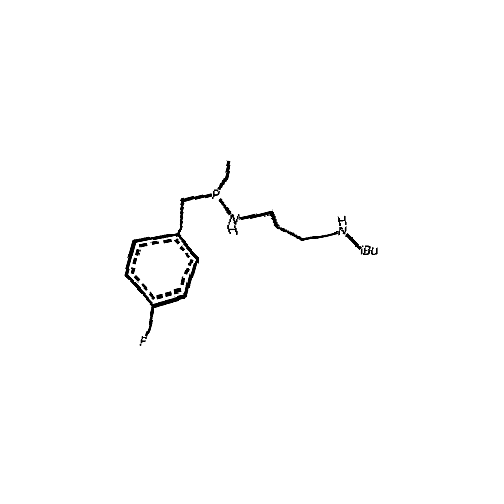 CCC(C)NCCNP(C)Cc1ccc(F)cc1